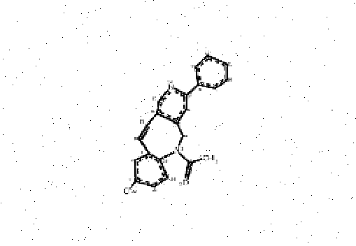 CC(=O)N1Cc2cc(-c3ccccc3)ncc2/C=C\c2cc(Cl)ccc21